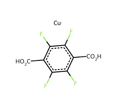 O=C(O)c1c(F)c(F)c(C(=O)O)c(F)c1F.[Cu]